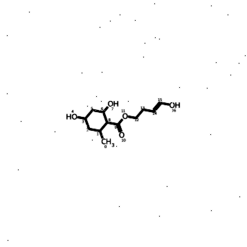 CC1CC(O)CC(O)C1C(=O)OCC/C=C/O